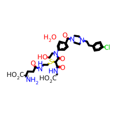 N[C@H](CCC(=O)NCCSC(C(=O)NCC(=O)O)C(=O)N(CCO)c1ccc(C(=O)N2CCN(CCc3ccc(Cl)cc3)CC2)cc1)C(=O)O.O